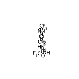 O=C([C@@H]1C[C@@H]1CNc1cc(C(F)(F)F)c(=O)[nH]n1)N1CCN(c2ncc(C(F)(F)F)cn2)CC1